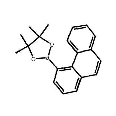 CC1(C)OB(c2cccc3ccc4ccccc4c23)OC1(C)C